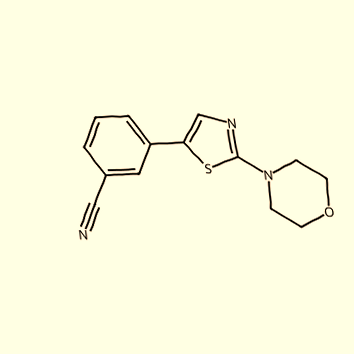 N#Cc1cccc(-c2cnc(N3CCOCC3)s2)c1